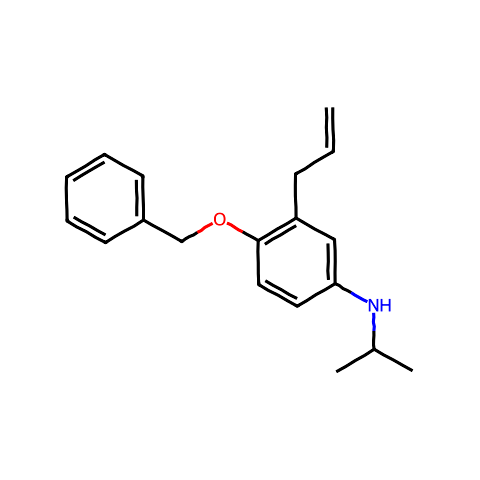 C=CCc1cc(NC(C)C)ccc1OCc1ccccc1